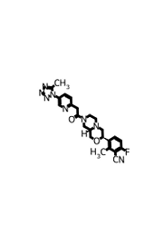 Cc1c([C@@H]2CN3CCN(C(=O)Cc4ccc(-n5nnnc5C)cn4)C[C@H]3CO2)ccc(F)c1C#N